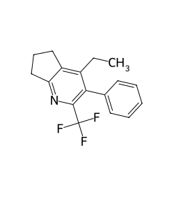 CCc1c2c(nc(C(F)(F)F)c1-c1ccccc1)CCC2